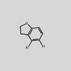 CCc1ccc2c(c1CC)CCO2